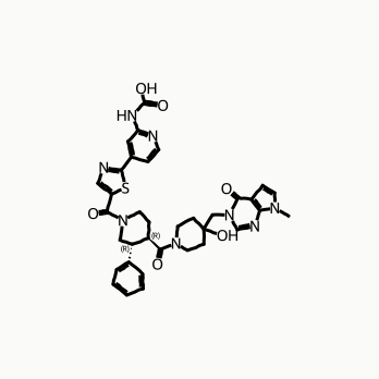 Cn1ccc2c(=O)n(CC3(O)CCN(C(=O)[C@@H]4CCN(C(=O)c5cnc(-c6ccnc(NC(=O)O)c6)s5)C[C@H]4c4ccccc4)CC3)cnc21